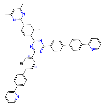 CC/C=C(\C=C/Cc1ccc(-c2ccccn2)cc1)c1nc(C2=CC=C(c3ccc(-c4ccccn4)cc3)CC2)nc(C2C=CC(c3nc(C)cc(C)n3)CC2C)n1